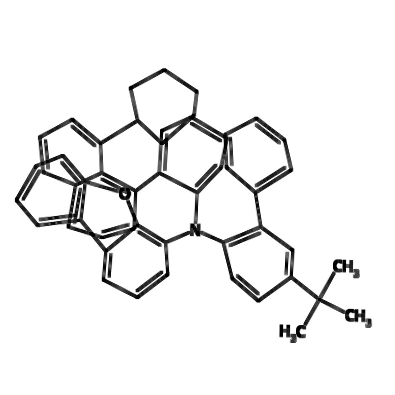 CC(C)(C)c1ccc(N(c2ccccc2-c2cccc3cccc(C4CCCCC4)c23)c2cccc3c2oc2ccccc23)c(-c2ccccc2)c1